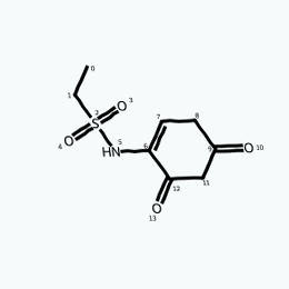 CCS(=O)(=O)NC1=CCC(=O)CC1=O